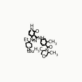 CCC1(n2nc(Nc3ccc(C(=O)N4C(C)COCC4C)c(C)c3)c3c(=O)[nH]ccc32)CCN(C(C)(C)C)CC1